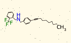 CCCCCCCCC#Cc1ccc(CNCc2ccccc2C(F)(F)F)cc1